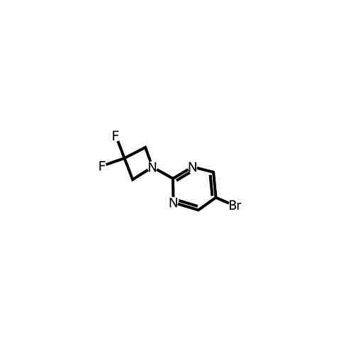 FC1(F)CN(c2ncc(Br)cn2)C1